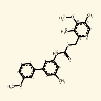 COc1cccc(-c2cc(C)cc(NC(=O)OCc3ncc(C)c(OC)c3C)c2)c1